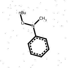 CCCCON(C)c1ccccc1